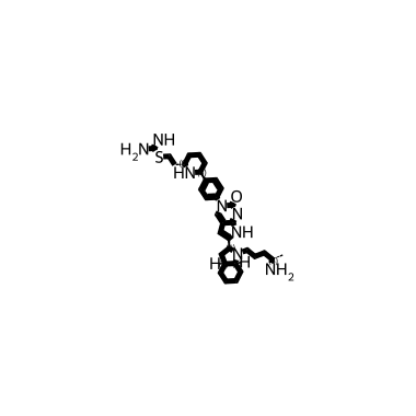 C[C@H](N)CCCN1[C@H](c2cc3cn(-c4ccc([C@@H]5CCC[C@@H](CCSC(=N)N)N5)cc4)c(=O)nc3[nH]2)C[C@@H]2CCCC[C@@H]21